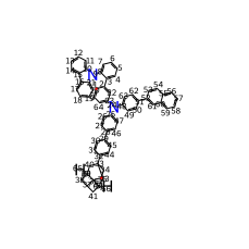 c1cc(-c2ccccc2-n2c3ccccc3c3ccccc32)cc(N(c2ccc(-c3ccc(C45CCC67C(C[C@H]6C4)C[C@H]7C5)cc3)cc2)c2ccc(-c3ccc4ccccc4c3)cc2)c1